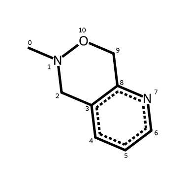 CN1Cc2cccnc2CO1